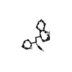 N#CC(=Cc1ccnc2ccccc12)c1ccccn1